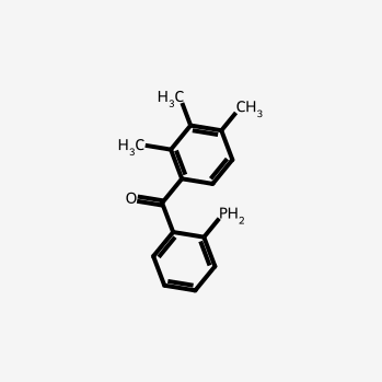 Cc1ccc(C(=O)c2ccccc2P)c(C)c1C